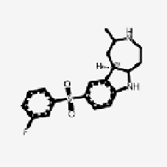 CC1C[C@@H]2c3cc(S(=O)(=O)c4cccc(F)c4)ccc3NC2CCN1